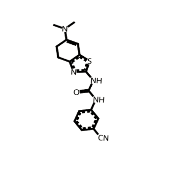 CN(C)C1=Cc2sc(NC(=O)Nc3cccc(C#N)c3)nc2CC1